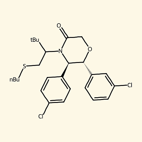 CCCCSCC(N1C(=O)CO[C@H](c2cccc(Cl)c2)[C@H]1c1ccc(Cl)cc1)C(C)(C)C